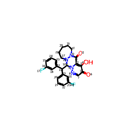 O=C1c2c(O)c(=O)cnn2C(C(c2cccc(F)c2)c2cccc(F)c2)N2CCCCCN12